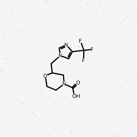 O=C(O)N1CCOC(Cn2cnc(C(F)(F)F)c2)C1